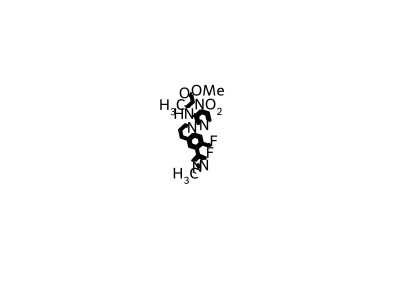 COC(=O)C[C@@H](C)Nc1c([N+](=O)[O-])ccnc1N1CCCc2cc(-c3cnn(C)c3)c(C(F)F)cc21